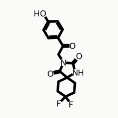 O=C(CN1C(=O)NC2(CCC(F)(F)CC2)C1=O)c1ccc(O)cc1